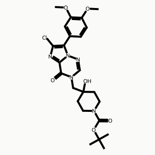 COc1ccc(-c2c(Cl)nc3c(=O)n(CC4(O)CCN(C(=O)OC(C)(C)C)CC4)cnn23)cc1OC